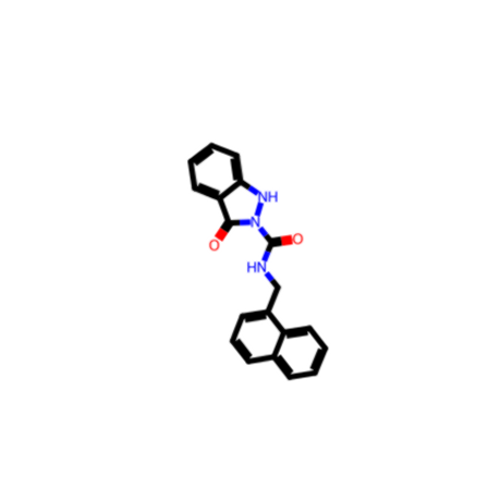 O=C(NCc1cccc2ccccc12)n1[nH]c2ccccc2c1=O